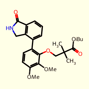 COc1ccc(-c2cccc3c2CNC3=O)c(OCC(C)(C)C(=O)OCC(C)C)c1OC